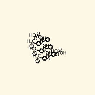 CC(c1ccc2nc(-c3ccccc3)n(O)c2c1)n1ccnc1.CC(c1ccc2nc(-c3ccccc3)n(O)c2c1)n1ccnc1.CC(c1ccc2nc(-c3ccccc3)n(O)c2c1)n1ccnc1.O=C(O)C(=O)O.O=C(O)C(=O)O